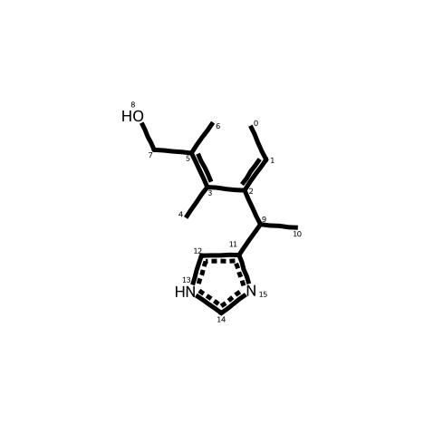 C/C=C(\C(C)=C(/C)CO)C(C)c1c[nH]cn1